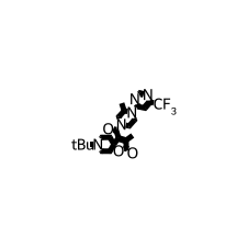 CC1=C(C(=O)N2CCN(c3cc(C(F)(F)F)ncn3)C(C)C2)C2(CCN(C(C)(C)C)CC2)OC1=O